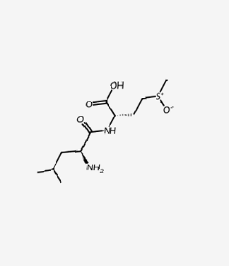 CC(C)C[C@H](N)C(=O)N[C@@H](CC[S+](C)[O-])C(=O)O